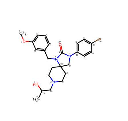 COc1cccc(CN2C(=O)N(c3ccc(Br)cc3)CC23CCN(CC(C)O)CC3)c1